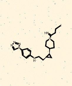 N=C(CCI)N1CCC([C@H]2C[C@H]2CCNc2ccc(-n3cnnn3)cc2)CC1